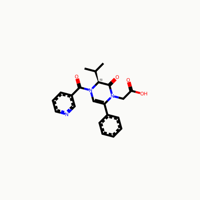 CC(C)[C@H]1C(=O)N(CC(=O)O)C(c2ccccc2)=CN1C(=O)c1cccnc1